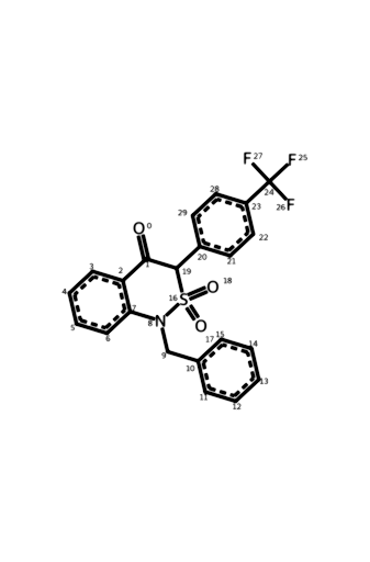 O=C1c2ccccc2N(Cc2ccccc2)S(=O)(=O)C1c1ccc(C(F)(F)F)cc1